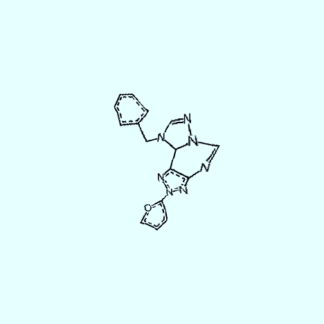 C1=Nc2nn(-c3ccco3)nc2C2N(Cc3ccccc3)C=NN12